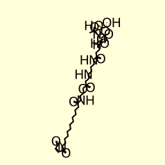 CC(=O)N[C@@H]1[C@@H](O)[C@H](O)CO[C@]1(CO)OCCCCC(=O)NCCCNCCC(=O)OCCNC(=O)CCCCCCCCCCCN1C(=O)C=CC1=O